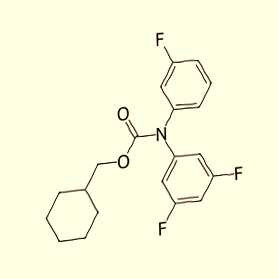 O=C(OCC1CCCCC1)N(c1cccc(F)c1)c1cc(F)cc(F)c1